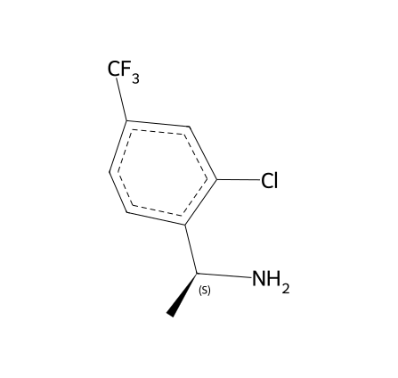 C[C@H](N)c1ccc(C(F)(F)F)cc1Cl